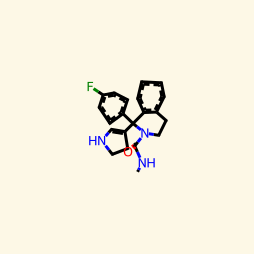 CNC(=O)N1CCc2ccccc2C1(C1=CNCC1)c1ccc(F)cc1